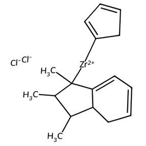 CC1C2CC=CC=C2[C](C)([Zr+2][C]2=CC=CC2)C1C.[Cl-].[Cl-]